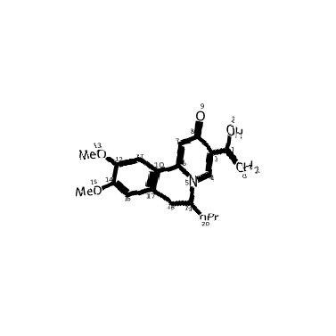 C=C(O)c1cn2c(cc1=O)-c1cc(OC)c(OC)cc1CC2CCC